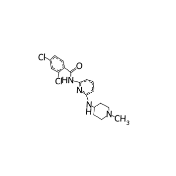 CN1CCC(Nc2cccc(NC(=O)c3ccc(Cl)cc3Cl)n2)CC1